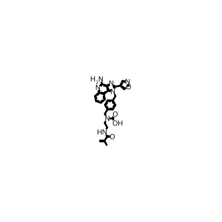 C=C(C)C(=O)NCCN(Cc1ccc(Cn2c(-c3cnoc3)nc3c(N)nc4ccccc4c32)cc1)C(=O)O